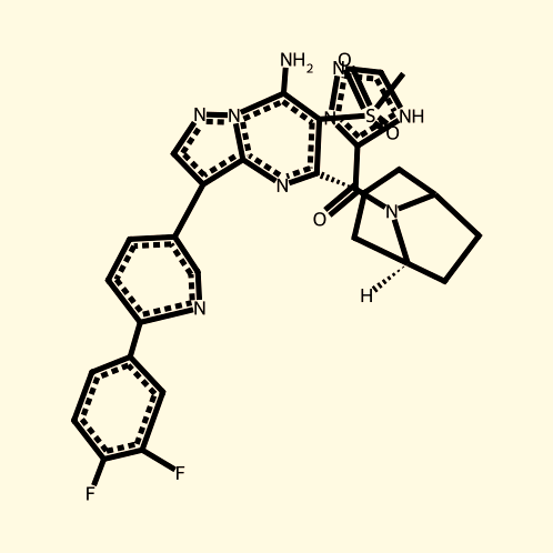 CS(=O)(=O)c1c([C@@H]2CC3CC[C@@H](C2)N3C(=O)c2nnc[nH]2)nc2c(-c3ccc(-c4ccc(F)c(F)c4)nc3)cnn2c1N